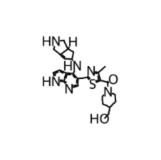 Cc1nc(-c2cnc3[nH]ccc3c2N[C@H]2C=C3CNC[C@@H]3C2)sc1C(=O)N1CCC(CO)CC1